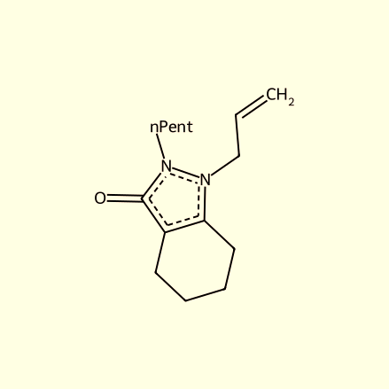 C=CCn1c2c(c(=O)n1CCCCC)CCCC2